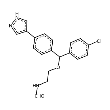 O=CNCCOC(c1ccc(Cl)cc1)c1ccc(-c2cn[nH]c2)cc1